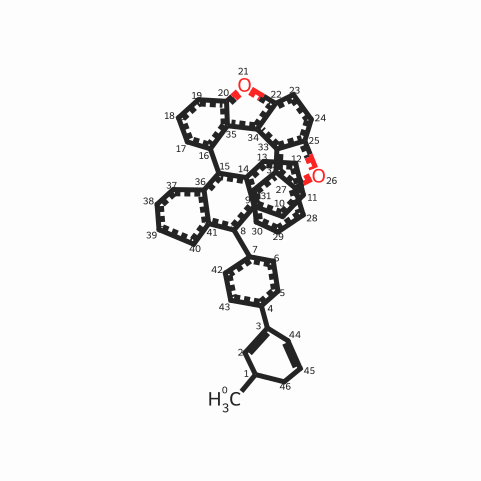 CC1C=C(c2ccc(-c3c4ccccc4c(-c4cccc5oc6ccc7oc8ccccc8c7c6c45)c4ccccc34)cc2)C=CC1